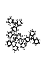 c1ccc(-c2nc3c(-n4c5ccccc5c5cc6c(cc54)c4ccccc4n6-c4ccccc4)cnc(-n4c5ccccc5c5cc6c(cc54)c4ccccc4n6-c4ccccc4)c3nc2-c2ccccc2)cc1